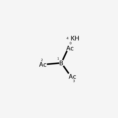 CC(=O)B(C(C)=O)C(C)=O.[KH]